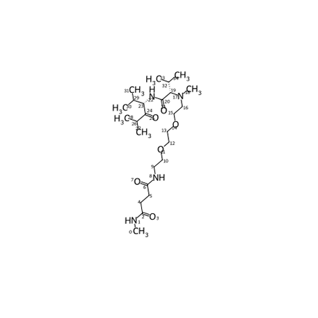 CNC(=O)CCC(=O)NCCOCCOCCN(C)[C@H](C(=O)N[C@H](C(=O)C(C)C)C(C)C)C(C)C